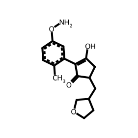 Cc1ccc(ON)cc1C1=C(O)CC(CC2CCOC2)C1=O